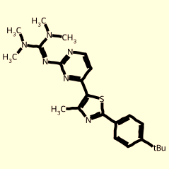 Cc1nc(-c2ccc(C(C)(C)C)cc2)sc1-c1ccnc(N=C(N(C)C)N(C)C)n1